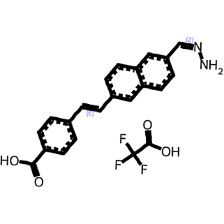 N/N=C\c1ccc2cc(/C=C/c3ccc(C(=O)O)cc3)ccc2c1.O=C(O)C(F)(F)F